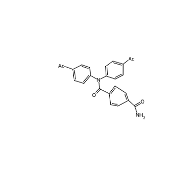 CC(=O)c1ccc(N(C(=O)c2ccc(C(N)=O)cc2)c2ccc(C(C)=O)cc2)cc1